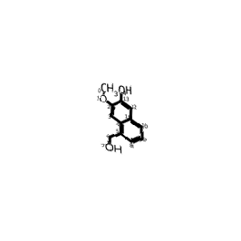 COc1cc2c(CO)cccc2cc1O